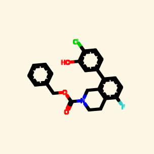 O=C(OCc1ccccc1)N1CCc2c(F)ccc(-c3ccc(Cl)c(O)c3)c2C1